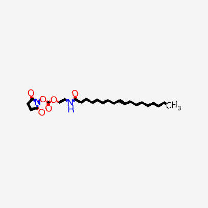 CCCCCCCC/C=C/CCCCCCCC(=O)NCCOC(=O)ON1C(=O)CCC1=O